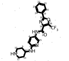 O=C(Nc1ccc(NC2CCNCC2)nc1)c1nc(-c2ccccc2)oc1C(F)(F)F